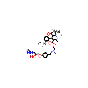 COC(=O)C1=C(C(F)(F)F)NC(C)=C(C(=O)OCCN(C)CCc2ccc(OCC(O)CNC(C)C)cc2)C1c1cccc([N+](=O)[O-])c1